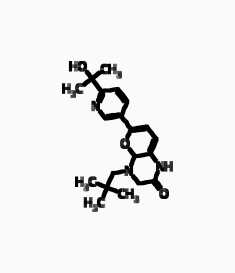 CC(C)(C)CN1CC(=O)NC2=CC=C(c3ccc(C(C)(C)O)nc3)OC21